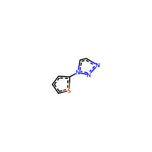 c1csc(-n2ccnn2)c1